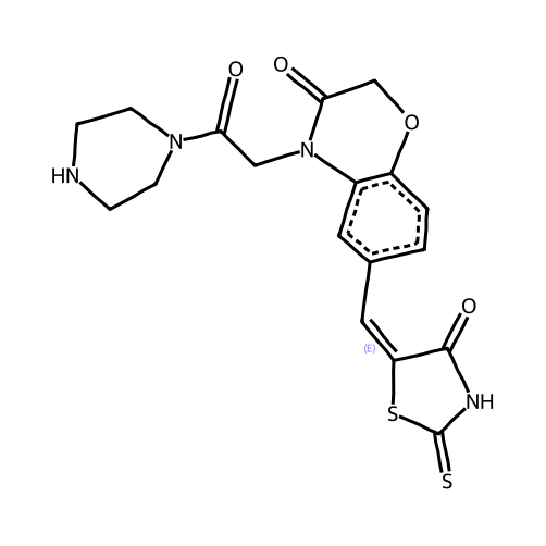 O=C1NC(=S)S/C1=C/c1ccc2c(c1)N(CC(=O)N1CCNCC1)C(=O)CO2